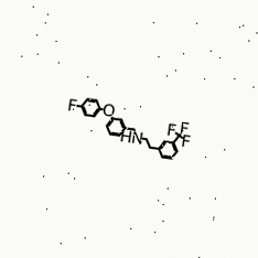 Fc1ccc(Oc2cccc(CNCCc3cccc(C(F)(F)F)c3)c2)cc1